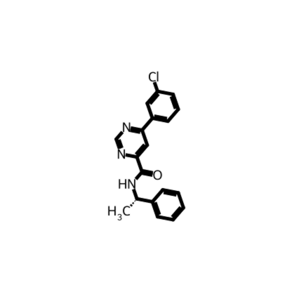 C[C@H](NC(=O)c1cc(-c2cccc(Cl)c2)ncn1)c1ccccc1